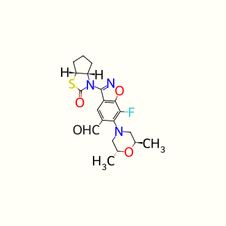 C[C@@H]1CN(c2c(C=O)cc3c(N4C(=O)S[C@@H]5CCC[C@@H]54)noc3c2F)C[C@@H](C)O1